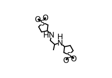 CC(CNC1CCS(=O)(=O)C1)NC1CCS(=O)(=O)C1